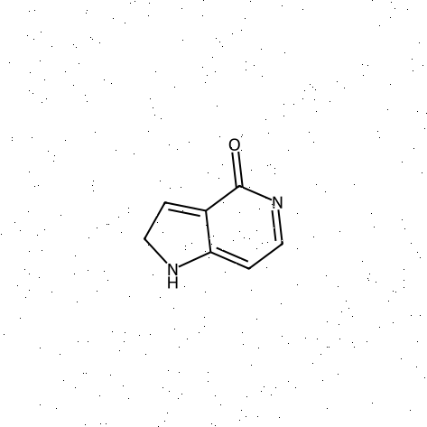 O=C1N=CC=C2NCC=C12